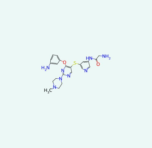 CN1CCN(c2ncc(Sc3cncc(NC(=O)CN)c3)c(Oc3cccc(N)c3)n2)CC1